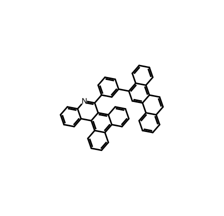 c1cc(-c2cc3c4ccccc4ccc3c3ccccc23)cc(-c2nc3ccccc3c3c4ccccc4c4ccccc4c23)c1